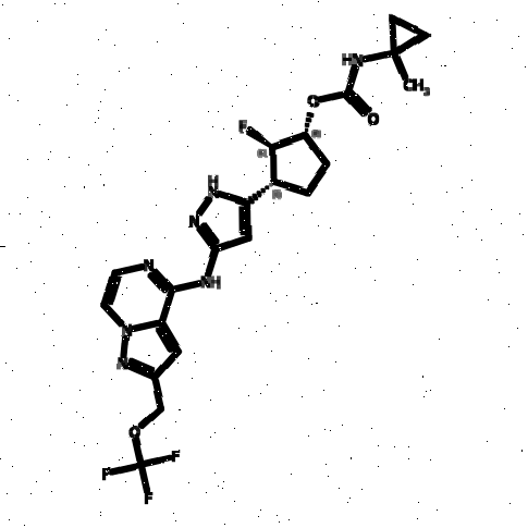 CC1(NC(=O)O[C@@H]2CC[C@H](c3cc(Nc4nccn5nc(COC(F)(F)F)cc45)n[nH]3)[C@H]2F)CC1